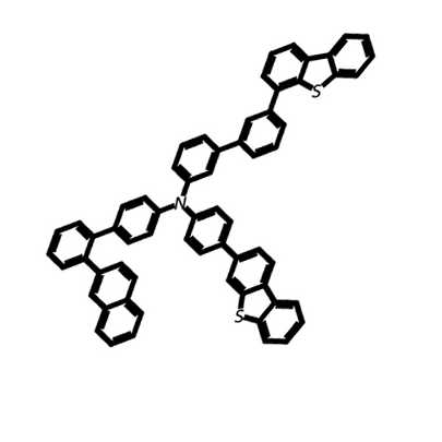 c1cc(-c2cccc(N(c3ccc(-c4ccc5c(c4)sc4ccccc45)cc3)c3ccc(-c4ccccc4-c4ccc5ccccc5c4)cc3)c2)cc(-c2cccc3c2sc2ccccc23)c1